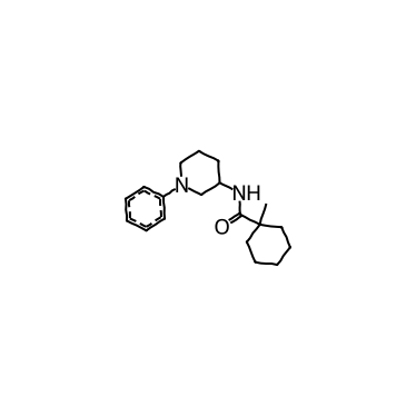 CC1(C(=O)NC2CCCN(c3ccccc3)C2)CCCCC1